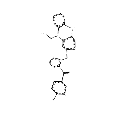 COCN1c2cc(Cn3ccnc3C(=O)c3ccc(C(=O)O)cc3)ccc2Sc2nccnc21